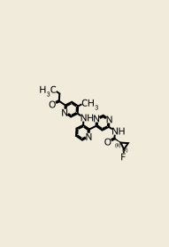 CCC(=O)c1cc(C)c(Nc2cccnc2-c2cc(NC(=O)[C@H]3C[C@H]3F)ncn2)cn1